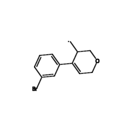 [CH2]C1COCC=C1c1cccc(Br)c1